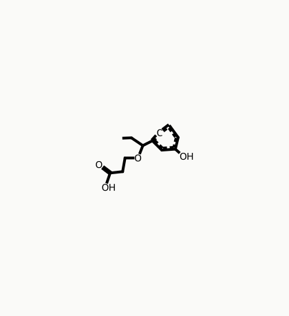 CCC(OCCC(=O)O)c1cccc(O)c1